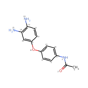 CC(=O)Nc1ccc(Oc2ccc(N)c(N)c2)cc1